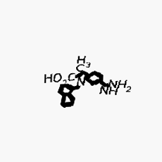 Cc1c(C(=O)O)n(Cc2cccc3ccccc23)c2cc(C(=N)N)ccc12